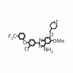 COc1cc2c(N)nc(-c3ccc(Oc4cccc(C(F)(F)F)c4)c(Cl)c3)nc2cc1OCC1CCN(C)CC1